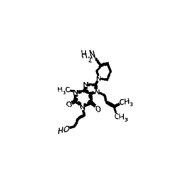 CC(C)=CCn1c(N2CCCC(N)C2)nc2c1c(=O)n(CCCO)c(=O)n2C